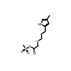 CCC(COCCCc1cc(C)c[nH]1)OS(C)(=O)=O